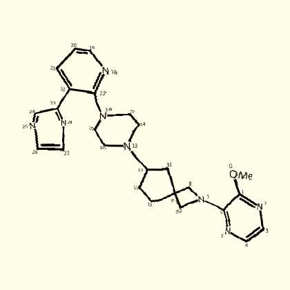 COc1nccnc1N1CC2(CCC(N3CCN(c4ncccc4-c4cnccn4)CC3)C2)C1